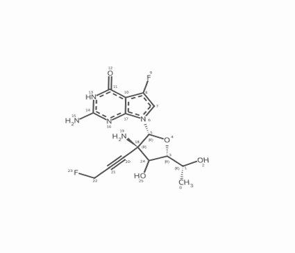 C[C@@H](O)[C@H]1O[C@@H](n2cc(F)c3c(=O)[nH]c(N)nc32)[C@@](N)(C#CCF)C1O